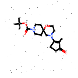 CC1=C(N2CCOC3(CCN(C(=O)OC(C)(C)C)CC3)C2)CCC1=O